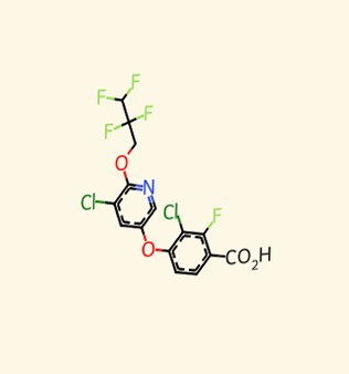 O=C(O)c1ccc(Oc2cnc(OCC(F)(F)C(F)F)c(Cl)c2)c(Cl)c1F